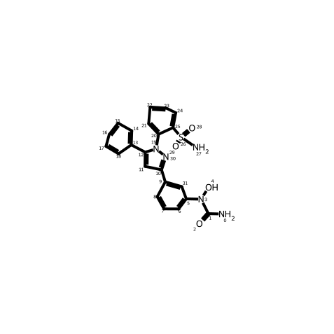 NC(=O)N(O)c1cccc(-c2cc(-c3ccccc3)n(-c3ccccc3S(N)(=O)=O)n2)c1